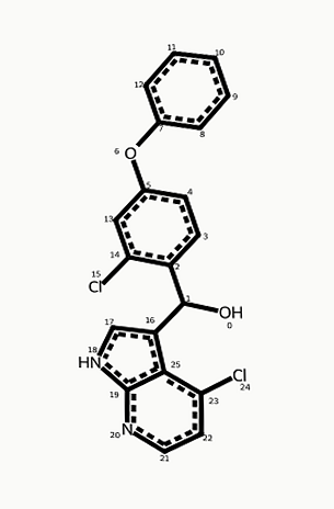 OC(c1ccc(Oc2ccccc2)cc1Cl)c1c[nH]c2nccc(Cl)c12